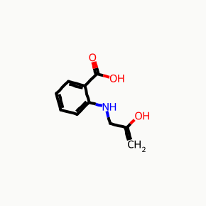 C=C(O)CNc1ccccc1C(=O)O